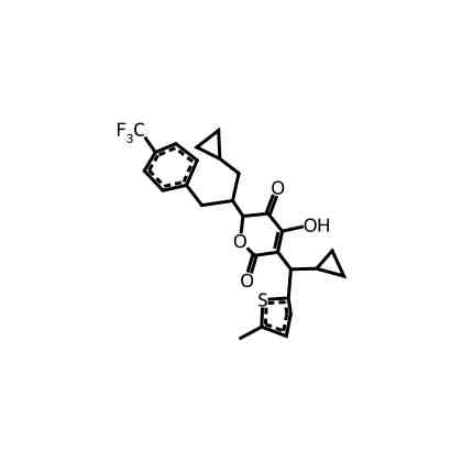 Cc1ccc(C(C2=C(O)C(=O)C(C(Cc3ccc(C(F)(F)F)cc3)CC3CC3)OC2=O)C2CC2)s1